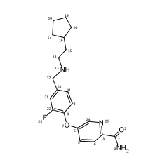 NC(=O)c1ccc(Oc2ccc(CNCCC3CCCC3)cc2F)cn1